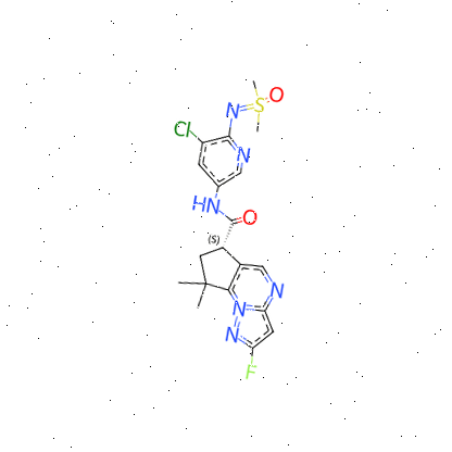 CC1(C)C[C@H](C(=O)Nc2cnc(N=S(C)(C)=O)c(Cl)c2)c2cnc3cc(F)nn3c21